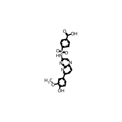 COc1cc(-c2ccc3ncc(NS(=O)(=O)c4ccc(C(=O)O)cc4)nc3n2)ccc1O